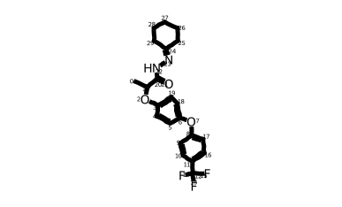 CC(Oc1ccc(Oc2ccc(C(F)(F)F)cc2)cc1)C(=O)NN=C1CCCCC1